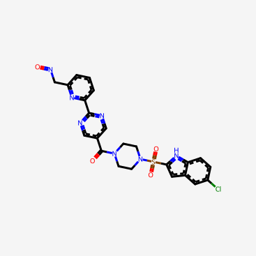 O=NCc1cccc(-c2ncc(C(=O)N3CCN(S(=O)(=O)c4cc5cc(Cl)ccc5[nH]4)CC3)cn2)n1